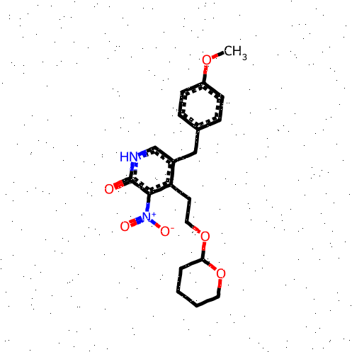 COc1ccc(Cc2c[nH]c(=O)c([N+](=O)[O-])c2CCOC2CCCCO2)cc1